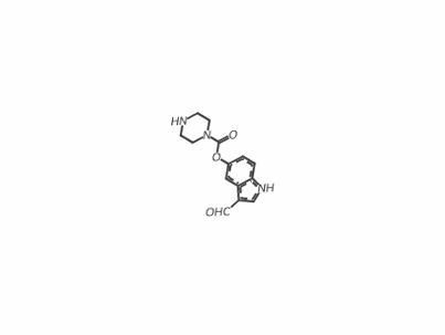 O=Cc1c[nH]c2ccc(OC(=O)N3CCNCC3)cc12